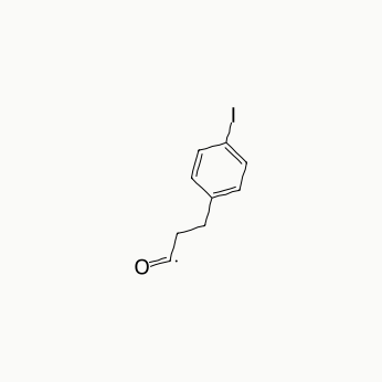 O=[C]CCc1ccc(I)cc1